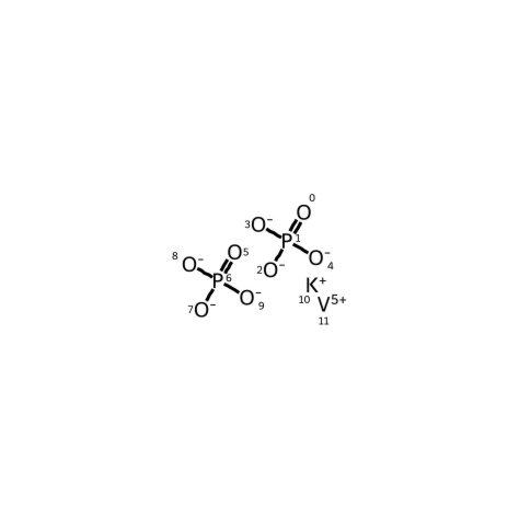 O=P([O-])([O-])[O-].O=P([O-])([O-])[O-].[K+].[V+5]